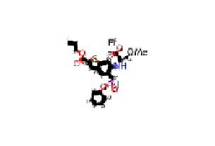 C=CCOC(=O)c1cc2cc(C[PH](=O)Oc3ccccc3)c(N[C@@H](COC)C(=O)OC(C)C)cc2s1